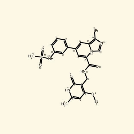 CCOc1cc(C)[nH]c(=O)c1CNC(=O)c1cc(-c2cccc(NS(C)(=O)=O)c2)cc2c(C(C)C)ncn12